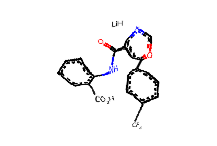 O=C(O)c1ccccc1NC(=O)c1ncoc1-c1ccc(C(F)(F)F)cc1.[LiH]